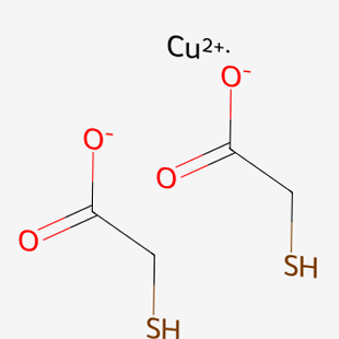 O=C([O-])CS.O=C([O-])CS.[Cu+2]